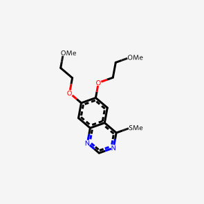 COCCOc1cc2ncnc(SC)c2cc1OCCOC